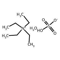 CC[N+](CC)(CC)CC.O.O=S(=O)([O-])O